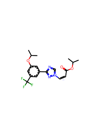 CC(C)OC(=O)/C=C\n1cnc(-c2cc(OC(C)C)cc(C(F)(F)F)c2)n1